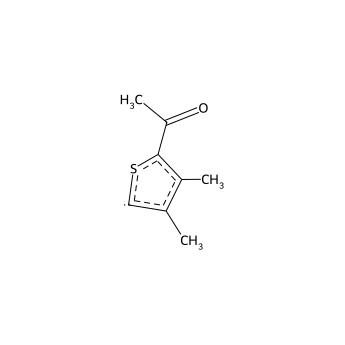 CC(=O)c1s[c]c(C)c1C